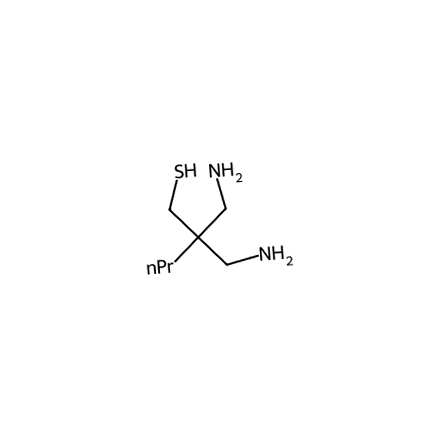 CCCC(CN)(CN)CS